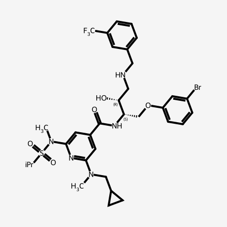 CC(C)S(=O)(=O)N(C)c1cc(C(=O)N[C@@H](COc2cccc(Br)c2)[C@H](O)CNCc2cccc(C(F)(F)F)c2)cc(N(C)CC2CC2)n1